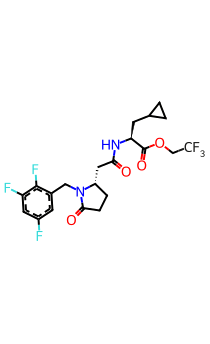 O=C(C[C@@H]1CCC(=O)N1Cc1cc(F)cc(F)c1F)N[C@@H](CC1CC1)C(=O)OCC(F)(F)F